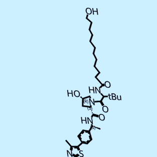 Cc1ncsc1-c1ccc([C@H](C)NC(=O)[C@@H]2C[C@@H](O)CN2C(=O)C(NC(=O)CCCCCCCCCCCO)C(C)(C)C)cc1